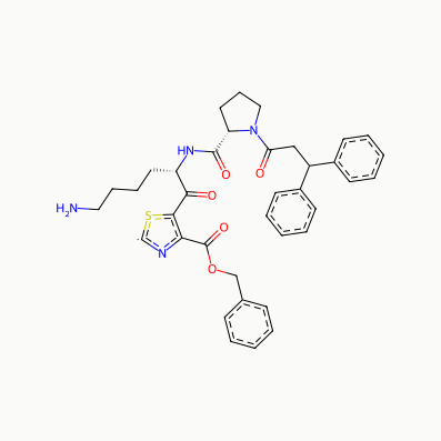 NCCCC[C@H](NC(=O)[C@@H]1CCCN1C(=O)CC(c1ccccc1)c1ccccc1)C(=O)c1s[c]nc1C(=O)OCc1ccccc1